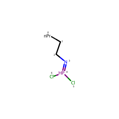 CCCCCN=[PH](Cl)Cl